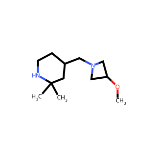 COC1CN(CC2CCNC(C)(C)C2)C1